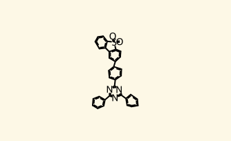 O=S1(=O)c2ccccc2-c2cc(-c3ccc(-c4nc(-c5ccccc5)nc(-c5ccccc5)n4)cc3)ccc21